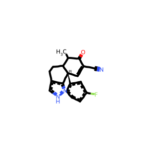 CC1C(=O)C(C#N)=C[C@]2(c3cccc(F)c3)c3n[nH]cc3CCC12